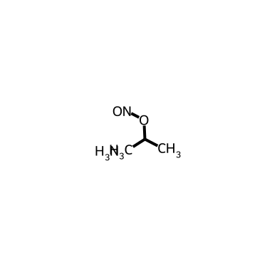 CC(C)ON=O.N